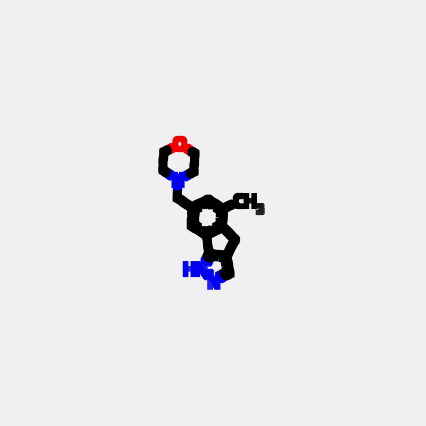 Cc1cc(CN2CCOCC2)cc2c1Cc1cn[nH]c1-2